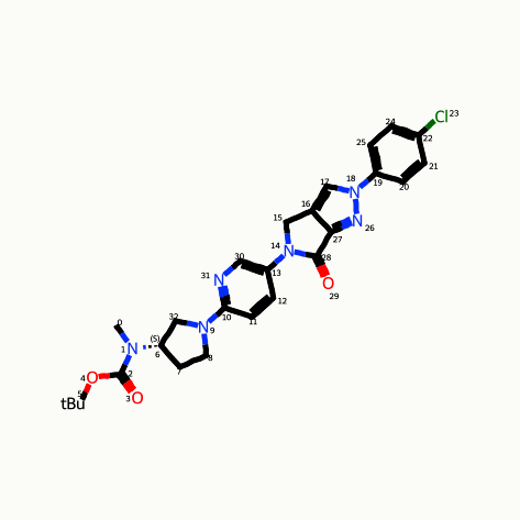 CN(C(=O)OC(C)(C)C)[C@H]1CCN(c2ccc(N3Cc4cn(-c5ccc(Cl)cc5)nc4C3=O)cn2)C1